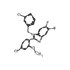 COc1cc(Cl)ccc1-c1nc2cc(F)c(F)cc2n1Cc1cccc(Cl)c1